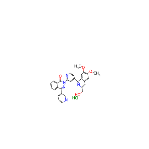 COc1cc2cc(CO)nc(-c3ccnc(-n4nc(-c5cccnc5)c5ccccc5c4=O)c3)c2cc1OC.Cl